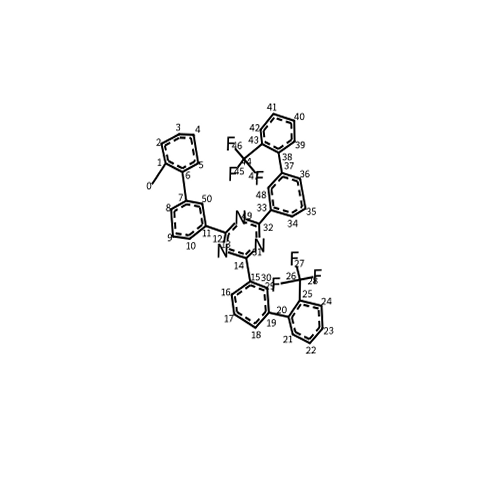 Cc1ccccc1-c1cccc(-c2nc(-c3cccc(-c4ccccc4C(F)(F)F)c3)nc(-c3cccc(-c4ccccc4C(F)(F)F)c3)n2)c1